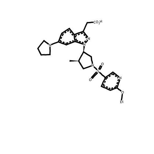 CCOc1ccc(S(=O)(=O)N2C[C@@H](C)[C@@H](n3nc(CC(=O)O)c4ccc(N5CCCC5)cc43)C2)cn1